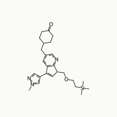 Cn1cc(C2=CC(COCC[Si](C)(C)C)c3ncc(CC4CCC(=O)CC4)cc32)cn1